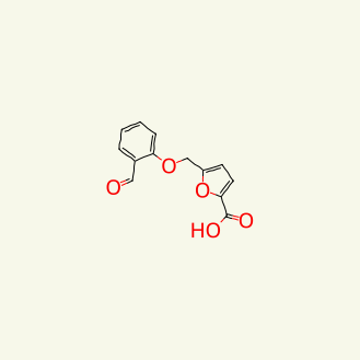 O=Cc1ccccc1OCc1ccc(C(=O)O)o1